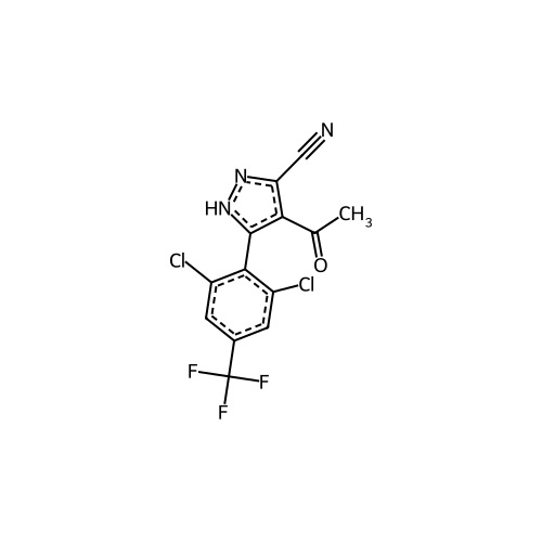 CC(=O)c1c(C#N)n[nH]c1-c1c(Cl)cc(C(F)(F)F)cc1Cl